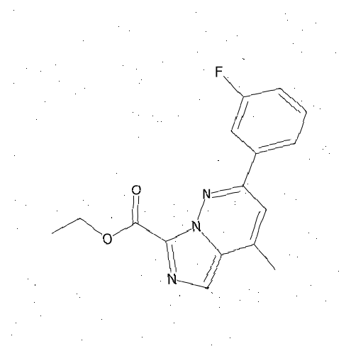 CCOC(=O)c1ncc2c(C)cc(-c3cccc(F)c3)nn12